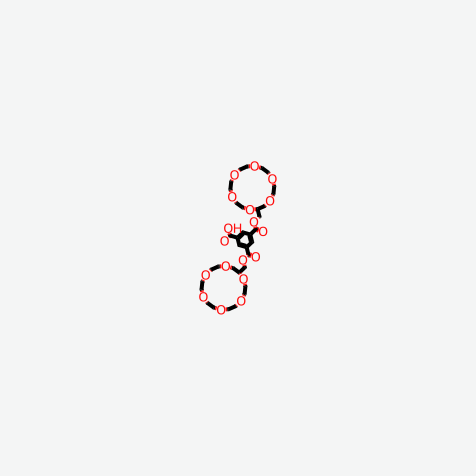 O=C(O)c1cc(C(=O)OCC2COCCOCCOCCOCCOCCO2)cc(C(=O)OCC2COCCOCCOCCOCCOCCO2)c1